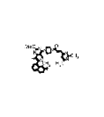 COc1nc(N2CCN(C(=O)/C=C/c3cc(C)nc(C)n3)CC2)c2cnc(-c3cccc4ccc(F)c(C)c34)c(F)c2n1